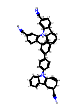 N#CC1=Cc2c(n(-c3ccc(-c4cccc(-c5ccc(C#N)cc5-n5c6ccccc6c6ccc(C#N)cc65)c4)cc3)c3ccccc23)C#CC1